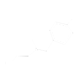 CCCN([SiH3])Cc1ccc(F)cc1